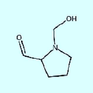 O=CC1CCCN1CO